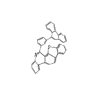 c1cc(-c2cc3ccccc3c3ccccc23)cc(-c2nc3ccccc3c3ccc4c5ccccc5sc4c23)c1